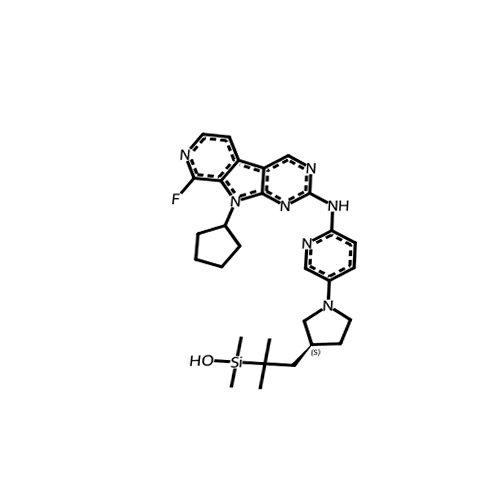 CC(C)(C[C@@H]1CCN(c2ccc(Nc3ncc4c5ccnc(F)c5n(C5CCCC5)c4n3)nc2)C1)[Si](C)(C)O